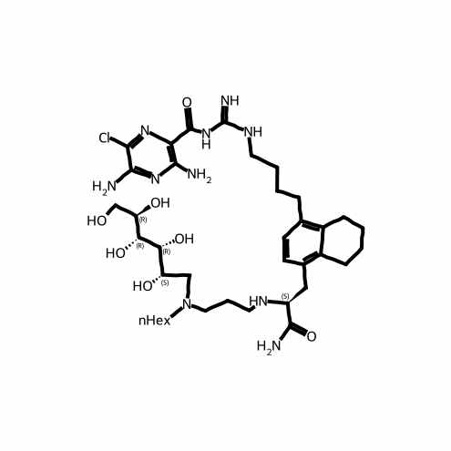 CCCCCCN(CCCN[C@@H](Cc1ccc(CCCCNC(=N)NC(=O)c2nc(Cl)c(N)nc2N)c2c1CCCC2)C(N)=O)C[C@H](O)[C@@H](O)[C@H](O)[C@H](O)CO